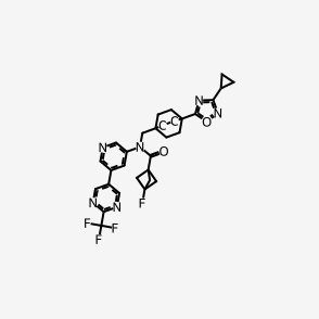 O=C(N(CC12CCC(c3nc(C4CC4)no3)(CC1)CC2)c1cncc(-c2cnc(C(F)(F)F)nc2)c1)C12CC(F)(C1)C2